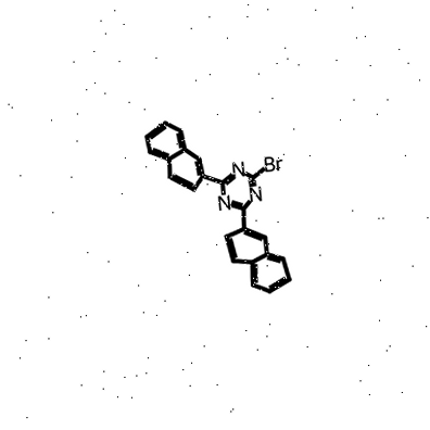 Brc1nc(-c2ccc3ccccc3c2)nc(-c2ccc3ccccc3c2)n1